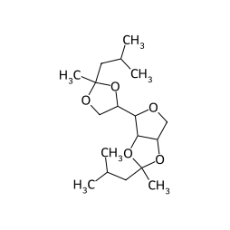 CC(C)CC1(C)OCC(C2OCC3OC(C)(CC(C)C)OC32)O1